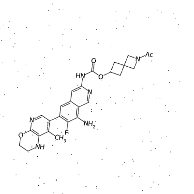 CC(=O)N1CC2(CC(OC(=O)Nc3cc4cc(-c5cnc6c(c5C)NCCO6)c(F)c(N)c4cn3)C2)C1